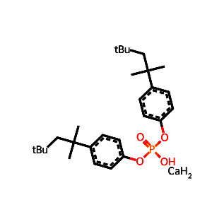 CC(C)(C)CC(C)(C)c1ccc(OP(=O)(O)Oc2ccc(C(C)(C)CC(C)(C)C)cc2)cc1.[CaH2]